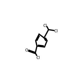 O=C(Cl)c1ccc(C(Cl)Cl)cc1